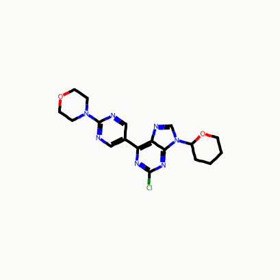 Clc1nc(-c2cnc(N3CCOCC3)nc2)c2ncn(C3CCCCO3)c2n1